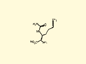 C=CCC/C(NC(N)=O)=C(\N)C(=O)O